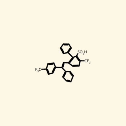 O=S(=O)(O)c1c(C(F)(F)F)ccc(/C=C(\c2ccccc2)c2ccc(C(F)(F)F)cc2)c1-c1ccccc1